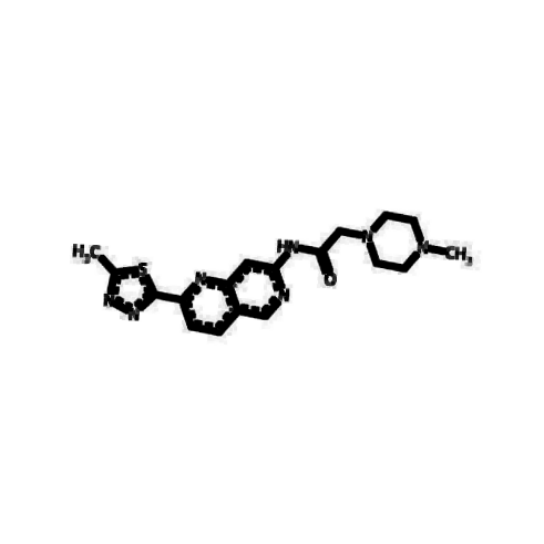 Cc1nnc(-c2ccc3cnc(NC(=O)CN4CCN(C)CC4)cc3n2)s1